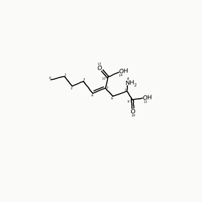 CCCCC=C(CC(N)C(=O)O)C(=O)O